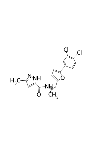 Cc1cc(C(=O)N[C@H](C)Cc2ccc(-c3ccc(Cl)c(Cl)c3)o2)[nH]n1